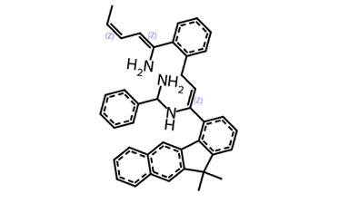 C/C=C\C=C(/N)c1ccccc1C/C=C(\NC(N)c1ccccc1)c1cccc2c1-c1cc3ccccc3cc1C2(C)C